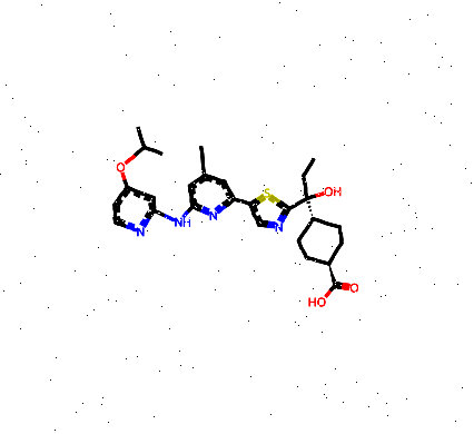 CCC(O)(c1ncc(-c2cc(C)cc(Nc3cc(OC(C)C)ccn3)n2)s1)[C@H]1CC[C@H](C(=O)O)CC1